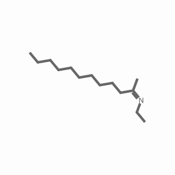 CCCCCCCCCC/C(C)=N\CC